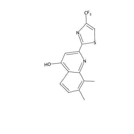 Cc1ccc2c(O)cc(-c3nc(C(F)(F)F)cs3)nc2c1C